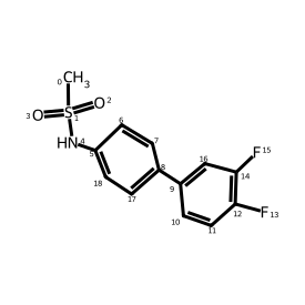 CS(=O)(=O)Nc1ccc(-c2ccc(F)c(F)c2)cc1